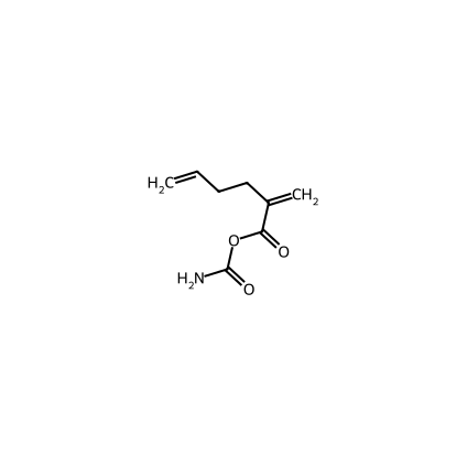 C=CCCC(=C)C(=O)OC(N)=O